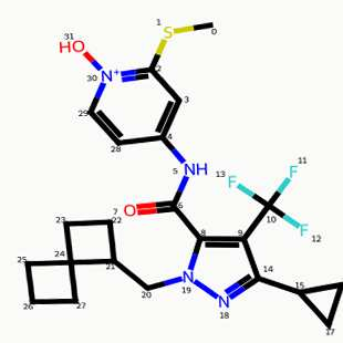 CSc1cc(NC(=O)c2c(C(F)(F)F)c(C3CC3)nn2CC2CCC23CCC3)cc[n+]1O